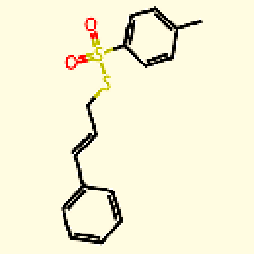 Cc1ccc(S(=O)(=O)SC/C=C/c2ccccc2)cc1